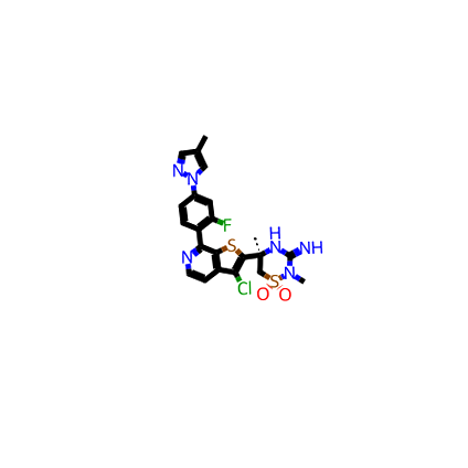 Cc1cnn(-c2ccc(-c3nccc4c(Cl)c([C@]5(C)CS(=O)(=O)N(C)C(=N)N5)sc34)c(F)c2)c1